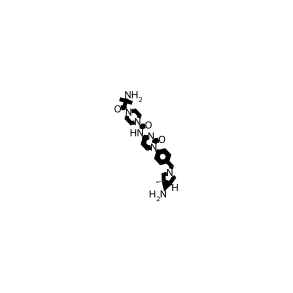 CC(C)(N)C(=O)N1CCN(C(=O)Nc2ccn(-c3ccc(CN4C[C@H]5[C@H](N)[C@@]5(C)C4)cc3)c(=O)n2)CC1